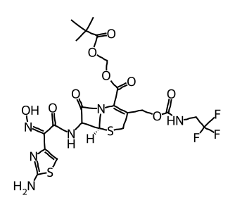 CC(C)(C)C(=O)OCOC(=O)C1=C(COC(=O)NCC(F)(F)F)CS[C@H]2C(NC(=O)/C(=N\O)c3csc(N)n3)C(=O)N12